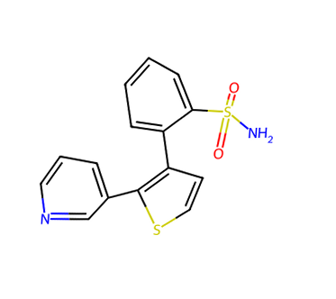 NS(=O)(=O)c1ccccc1-c1ccsc1-c1cccnc1